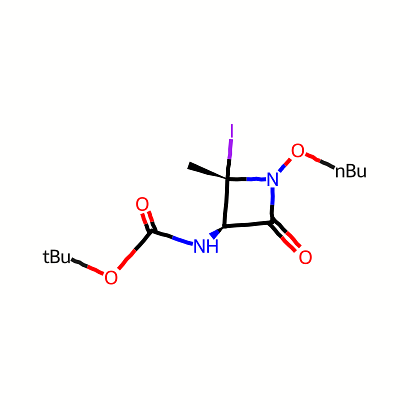 CCCCON1C(=O)[C@@H](NC(=O)OC(C)(C)C)[C@]1(C)I